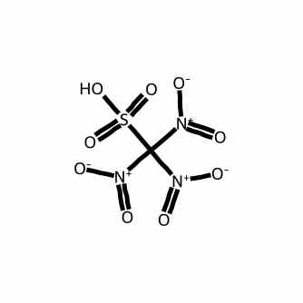 O=[N+]([O-])C([N+](=O)[O-])([N+](=O)[O-])S(=O)(=O)O